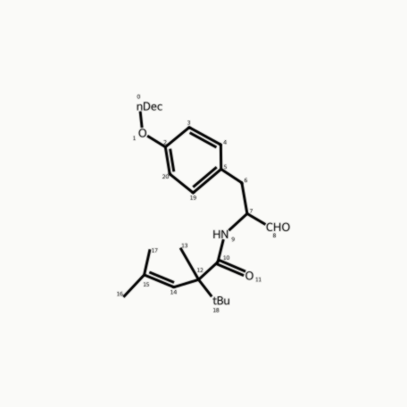 CCCCCCCCCCOc1ccc(CC(C=O)NC(=O)C(C)(C=C(C)C)C(C)(C)C)cc1